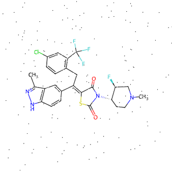 Cc1n[nH]c2ccc(/C(Cc3ccc(Cl)cc3C(F)(F)F)=C3\SC(=O)N([C@H]4CCN(C)C[C@@H]4F)C3=O)cc12